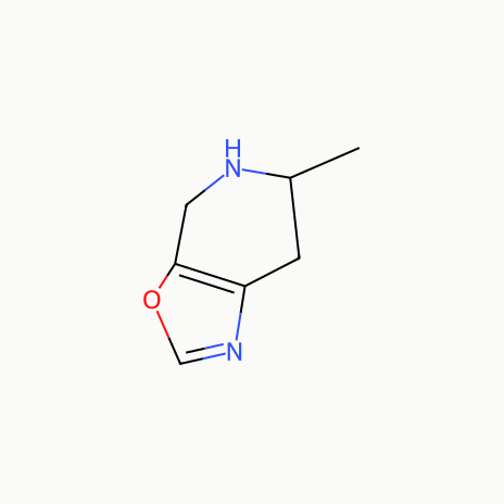 CC1Cc2ncoc2CN1